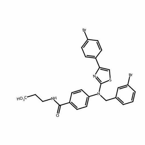 O=C(O)CCNC(=O)c1ccc(N(Cc2cccc(Br)c2)c2nc(-c3ccc(Br)cc3)cs2)cc1